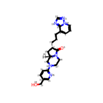 O=C1[C@@H](CCCc2cccn3ncnc23)C[C@H]2CN(c3ccc(CO)cn3)CCN12